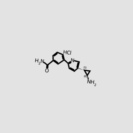 Cl.NC(=O)c1cccc(-c2ccc([C@@H]3C[C@H]3N)cn2)c1